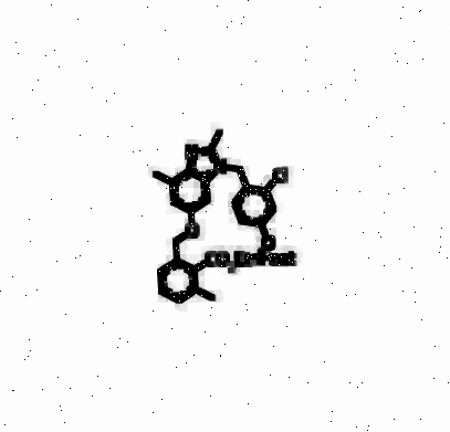 CCCCCOc1ccc(Cn2c(C)nc3c(C)cc(OCc4cccc(C)c4C(=O)OCC)cc32)c(Cl)c1